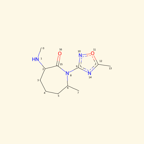 CNC1CCCC(C)N(c2noc(C)n2)C1=O